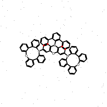 c1ccc(-c2cccc(-c3ccccc3)c2B2c3ccc(N4c5ccccc5-c5ccccc5Oc5ccccc5-c5ccccc54)cc3Oc3cc(N4c5ccccc5-c5ccccc5Oc5ccccc5-c5ccccc54)ccc32)cc1